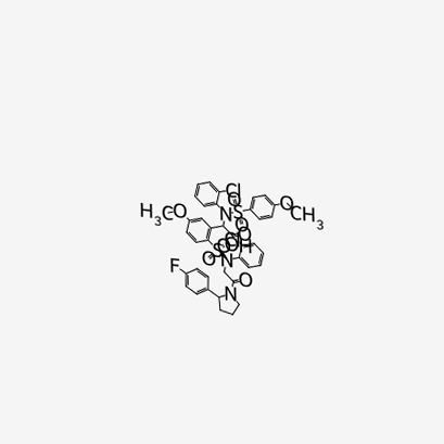 COc1ccc(S(=O)(=O)N(c2ccccc2Cl)C(C(=O)O)c2cc(OC)ccc2S(=O)(=O)N(CC(=O)N2CCCC2c2ccc(F)cc2)c2ccccc2Cl)cc1